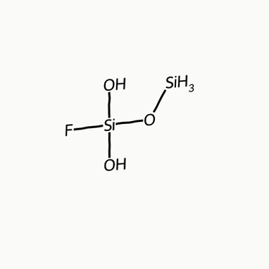 O[Si](O)(F)O[SiH3]